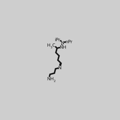 CCCN(NC(C)CCC/C=N\CCCN)C(C)C